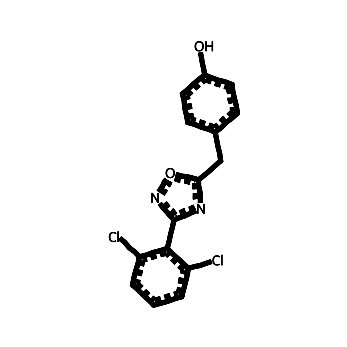 Oc1ccc(Cc2nc(-c3c(Cl)cccc3Cl)no2)cc1